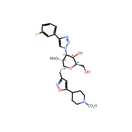 CO[C@@H]1[C@@H](n2cc(-c3cccc(F)c3)nn2)[C@@H](O)[C@@H](CO)O[C@@H]1Cc1cc(C2CCN(C(=O)O)CC2)on1